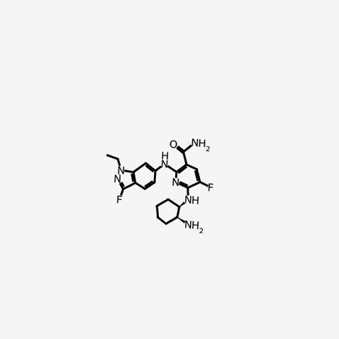 CCn1nc(F)c2ccc(Nc3nc(N[C@@H]4CCCC[C@@H]4N)c(F)cc3C(N)=O)cc21